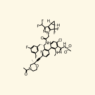 CC(=O)N1CCO[C@](C)(C#Cc2ccc(-c3ccc(Cl)c4c(NS(C)(=O)=O)nn(C)c34)c([C@H](Cc3cc(F)cc(F)c3)NC(=O)Cn3nc(C(F)F)c4c3C(F)(F)[C@@H]3C[C@H]43)n2)C1